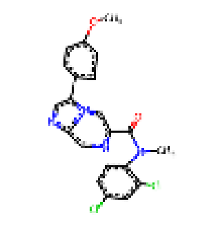 COc1ccc(-c2cnc3cnc(C(=O)N(C)c4ccc(Cl)cc4Cl)cn23)cc1